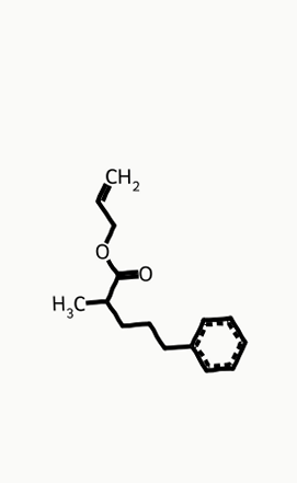 C=CCOC(=O)C(C)CCCc1ccccc1